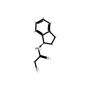 O=C(CCl)N[C@@H]1CCc2ccccc21